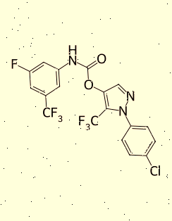 O=C(Nc1cc(F)cc(C(F)(F)F)c1)Oc1cnn(-c2ccc(Cl)cc2)c1C(F)(F)F